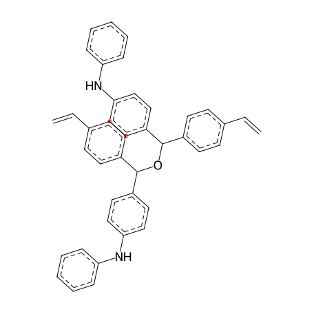 C=Cc1ccc(C(OC(c2ccc(C=C)cc2)c2ccc(Nc3ccccc3)cc2)c2ccc(Nc3ccccc3)cc2)cc1